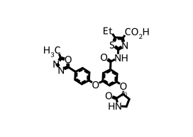 CCc1sc(NC(=O)c2cc(Oc3ccc(-c4nnc(C)o4)cc3)cc(O[C@@H]3CCNC3=O)c2)nc1C(=O)O